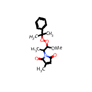 COC(OOC(C)(C)c1ccccc1)C(C)N1C(=O)C=C(C)C1=O